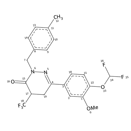 COc1cc(C2=NN(Cc3ccc(C)cc3)C(=O)C(C(F)(F)F)C2)ccc1OC(F)F